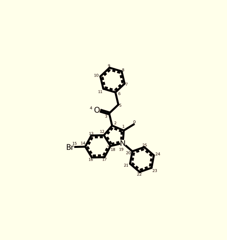 Cc1c(C(=O)Cc2ccccc2)c2cc(Br)ccc2n1-c1ccccc1